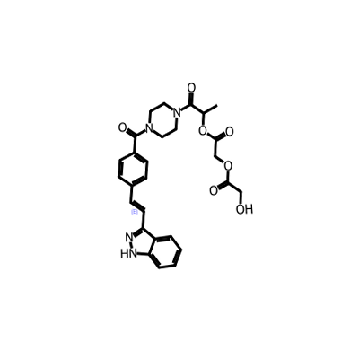 CC(OC(=O)COC(=O)CO)C(=O)N1CCN(C(=O)c2ccc(/C=C/c3n[nH]c4ccccc34)cc2)CC1